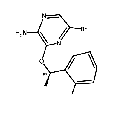 C[C@@H](Oc1nc(Br)cnc1N)c1ccccc1I